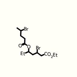 CCOC(=O)CC(Br)CC(CC)OC(=O)CCC(C)Br